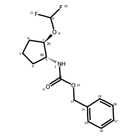 O=C(N[C@@H]1CCC[C@H]1OC(F)F)OCc1ccccc1